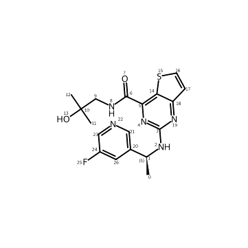 C[C@H](Nc1nc(C(=O)NCC(C)(C)O)c2sccc2n1)c1cncc(F)c1